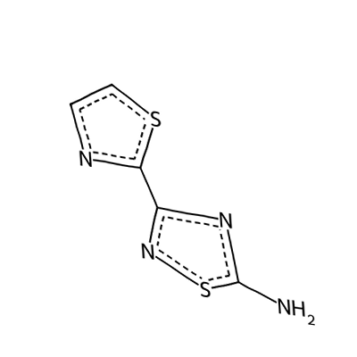 Nc1nc(-c2nccs2)ns1